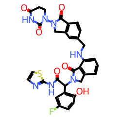 O=C1CCN(N2Cc3cc(CNc4cccc5c4C(=O)N(C(C(=O)Nc4nccs4)c4cc(F)ccc4O)C5)ccc3C2=O)C(=O)N1